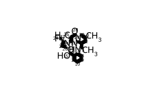 Cc1cc([C@@H](C)Nc2ccccc2C(=O)O)c2nc(N3CC[C@H]3CF)c(C)c(=O)n2c1